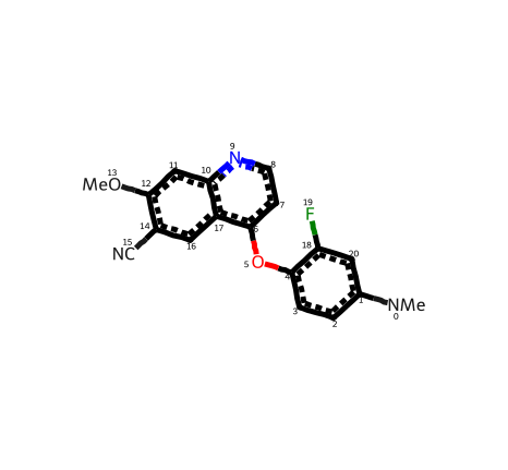 CNc1ccc(Oc2ccnc3cc(OC)c(C#N)cc23)c(F)c1